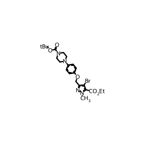 CCOC(=O)c1c(Br)c(COc2ccc(N3CCN(C(=O)OC(C)(C)C)CC3)cc2)nn1C